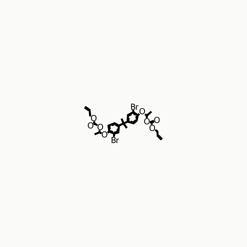 C=CCOC(=O)OC(C)Oc1ccc(C(C)(C)c2ccc(OC(C)OC(=O)OCC=C)c(Br)c2)cc1Br